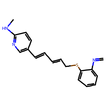 C=Nc1ccccc1SC/C=C/C=C/c1ccc(NC)nc1